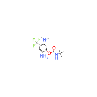 CN(C)c1cc(OC(=O)NC(C)(C)C)c(N)cc1C(F)(F)F